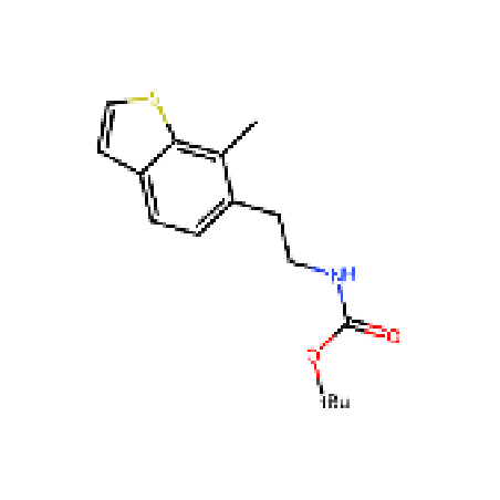 Cc1c(CCNC(=O)OC(C)(C)C)ccc2ccsc12